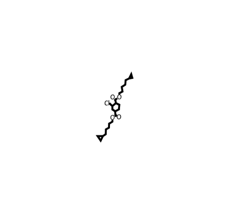 O=C(OCCCCCC1CC1)C1CCC(C(=O)OCCCCCC2CC2)C(Cl)C1